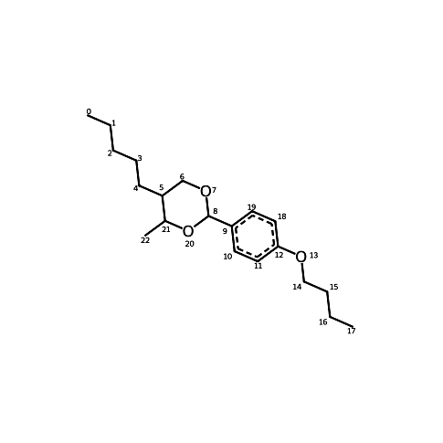 CCCCCC1COC(c2ccc(OCCCC)cc2)OC1C